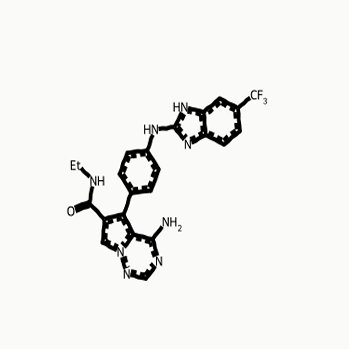 CCNC(=O)c1cn2ncnc(N)c2c1-c1ccc(Nc2nc3ccc(C(F)(F)F)cc3[nH]2)cc1